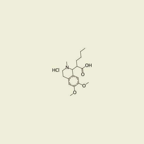 CCCCC(C(=O)O)C1c2cc(OC)c(OC)cc2CCN1C.Cl